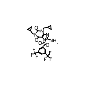 Nc1nc2c(c(=O)n(CC3CC3)c(=O)n2CC2CC2)n1S(=O)(=O)c1cc(C(F)(F)F)cc(C(F)(F)F)c1